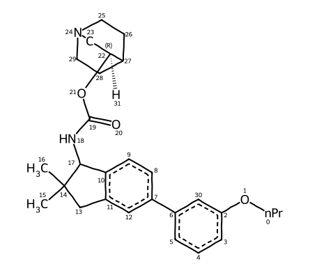 CCCOc1cccc(-c2ccc3c(c2)CC(C)(C)C3NC(=O)O[C@H]2CN3CCC2CC3)c1